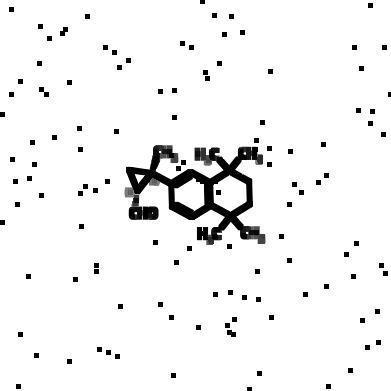 CC1(C)CCC(C)(C)c2cc([C@@]3(C)C[C@H]3C=O)ccc21